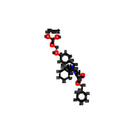 CCCC(C)OC(=O)OCOc1ccc2c(c1)[C@@]13CCCC[C@H]1[C@@H](C2)N(C(=O)OCc1ccccc1)CC3